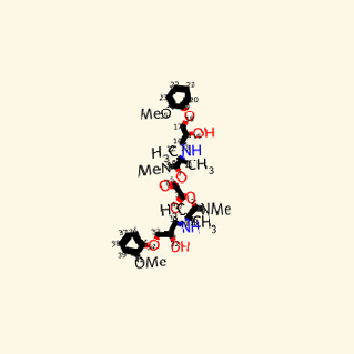 CNC(OC(=O)C(=O)OC(NC)C(C)(C)NCC(O)COc1ccccc1OC)C(C)(C)NCC(O)COc1ccccc1OC